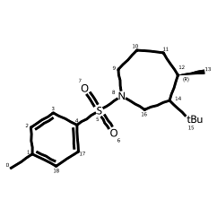 Cc1ccc(S(=O)(=O)N2CCC[C@@H](C)C(C(C)(C)C)C2)cc1